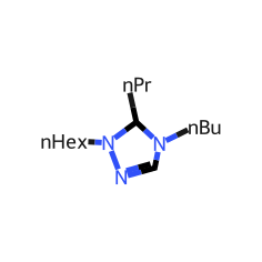 CCCCCCN1N=CN(CCCC)C1CCC